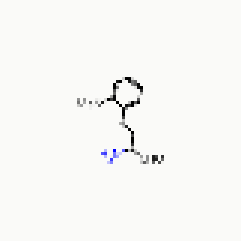 CNc1ccccc1CCC(N)C=O